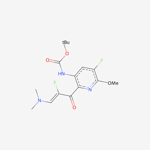 COc1nc(C(=O)C(F)=CN(C)C)c(NC(=O)OC(C)(C)C)cc1F